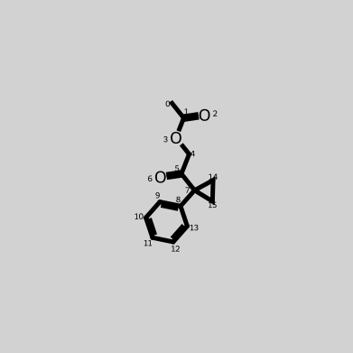 CC(=O)OCC(=O)C1(c2ccccc2)CC1